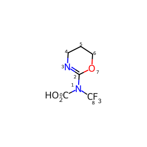 O=C(O)N(C1=NCCCO1)C(F)(F)F